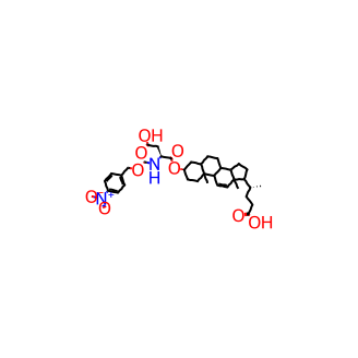 C[C@H](CCC(=O)O)C1CCC2C3CCC4C[C@H](OC(=O)[C@H](CC(=O)O)NCOCc5ccc([N+](=O)[O-])cc5)CCC4(C)C3C=CC21C